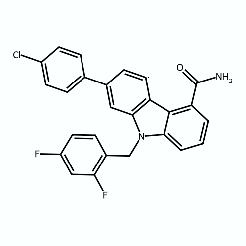 NC(=O)c1cccc2c1c1[c]cc(-c3ccc(Cl)cc3)cc1n2Cc1ccc(F)cc1F